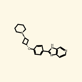 c1cc2nc(-c3ccc(O[C@H]4C[C@H](N5CCCCC5)C4)cc3)[nH]c2cn1